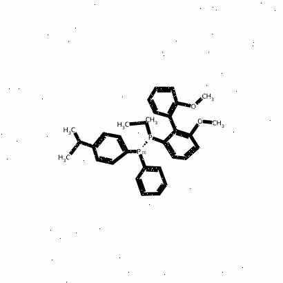 COc1ccc[c]c1-c1c(OC)cccc1P(C(C)C)[P@](c1ccccc1)c1ccc(C(C)C)cc1